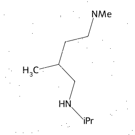 CNCCC(C)CNC(C)C